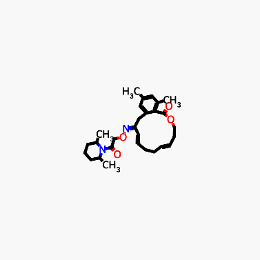 Cc1cc(C)c2c(c1)CC(=N/OCC(=O)N1C(C)CCCC1C)/C=C/CC/C=C/CCOC2=O